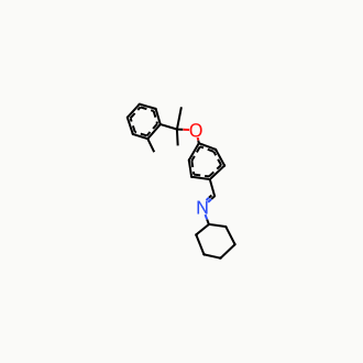 Cc1ccccc1C(C)(C)Oc1ccc(C=NC2CCCCC2)cc1